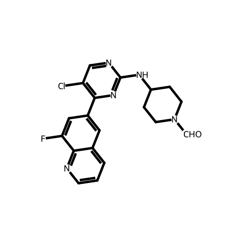 O=CN1CCC(Nc2ncc(Cl)c(-c3cc(F)c4ncccc4c3)n2)CC1